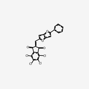 O=C1C(=Cc2cc3oc(-c4ccccc4)cc3o2)C(=O)c2c(Cl)c(Cl)c(Cl)c(Cl)c21